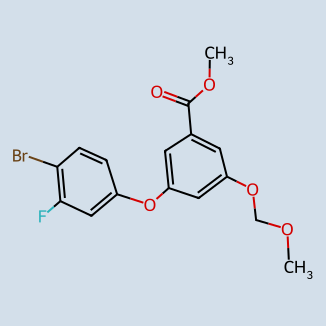 COCOc1cc(Oc2ccc(Br)c(F)c2)cc(C(=O)OC)c1